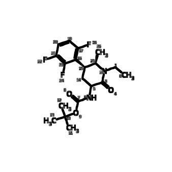 CCN1C(=O)C(NC(=O)OC(C)(C)C)C[C@@H](c2c(F)ccc(F)c2F)[C@H]1C